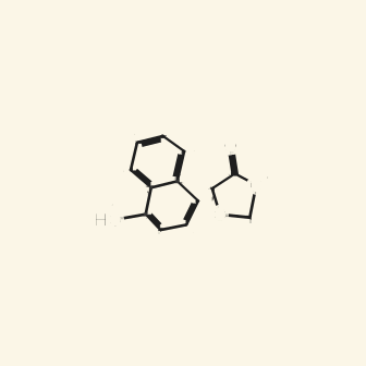 O=C1COCO1.Oc1cccc2ccccc12